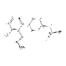 CON=Cc1c(N)ncnc1N1CCN(OC(=O)C(C)(C)C)CC1